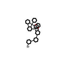 Brc1cccc(-c2cccc(-c3ccc4c5ccccc5n(-c5cccc6c5C(c5ccccc5)(c5ccccc5)c5ccccc5-6)c4c3)c2)c1